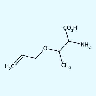 C=CCOC(C)C(N)C(=O)O